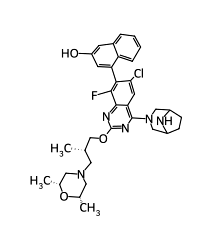 C[C@H](COc1nc(N2CC3CCC(C2)N3)c2cc(Cl)c(-c3cc(O)cc4ccccc34)c(F)c2n1)CN1C[C@@H](C)O[C@@H](C)C1